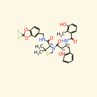 Cc1c(O)cccc1C(=O)N[C@@H](Cc1ccccc1)[C@H](O)C(=O)N1CSC(C)(C)[C@H]1C(=O)NCc1ccc2c(c1)OC(F)(F)O2